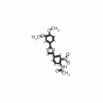 COc1ccc(-c2nc(-c3ccc(NC(C)=O)c([N+](=O)[O-])c3)cs2)cc1OC